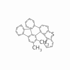 Cc1cc2c(c(-c3c(-c4ccccc4)ccc4sc5ccccc5c34)c1C)Cc1ccccc1-2